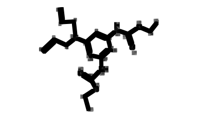 C=CCN(CC=C)c1cc(NC(=O)OCC)nc(NC(=O)OCC)n1